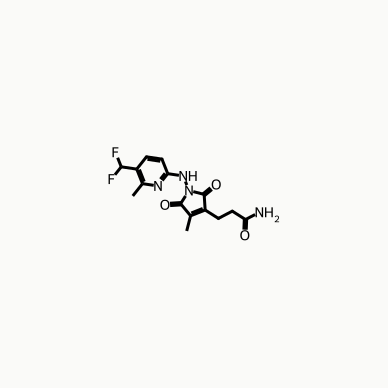 CC1=C(CCC(N)=O)C(=O)N(Nc2ccc(C(F)F)c(C)n2)C1=O